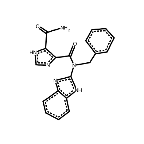 NC(=O)c1[nH]cnc1C(=O)N(Cc1ccccc1)c1nc2ccccc2[nH]1